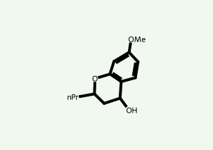 CCCC1CC(O)c2ccc(OC)cc2O1